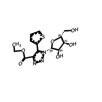 CCOC(=O)c1nnn([C@@H]2O[C@H](CO)[C@@H](O)[C@H]2O)c1-c1cccs1